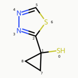 SC1(c2nncs2)CC1